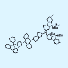 CCCCC1(CCCC)c2cc(C)ccc2-c2ccc(N(c3ccc4c(c3)C(CCCC)(CCCC)c3cc(C)ccc3-4)c3ccc4cc(-c5c6ccccc6c(-c6ccc(C7(c8ccccc8)c8ccccc8-c8ccccc87)cc6)c6ccccc56)ccc4c3)cc21